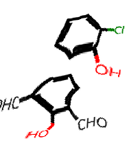 O=Cc1cccc(C=O)c1O.Oc1ccccc1Cl